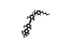 CCCCCc1ccc(C(F)(F)Oc2cc(F)c(C#Cc3cc(F)c(-c4cc(F)c(C(F)(F)F)c(F)c4)c(F)c3)c(F)c2)cc1